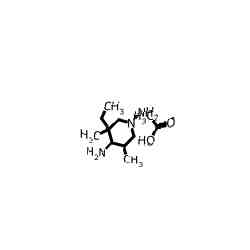 CC(=O)O.CCC1(C)CN(N)CC(C)C1N